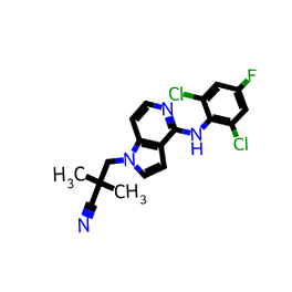 CC(C)(C#N)Cn1ccc2c(Nc3c(Cl)cc(F)cc3Cl)nccc21